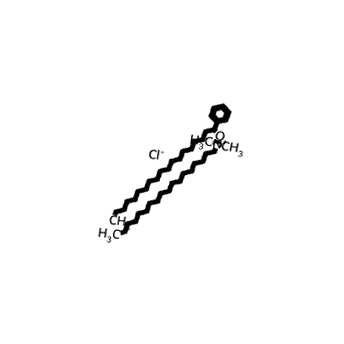 CCCCCCCCCCCCCCCCCCC(O[N+](C)(C)CCCCCCCCCCCCCCCCCC)c1ccccc1.[Cl-]